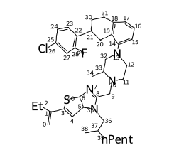 C=C(CC)C1=CC2C(N=C(CN3CCN(c4cccc5c4CC(c4ccc(Cl)cc4F)CC5)CC3C)N2CC(C)CCCCC)S1